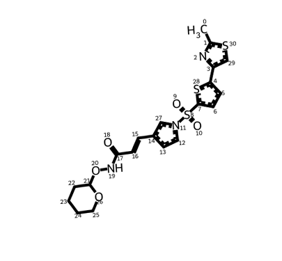 Cc1nc(-c2ccc(S(=O)(=O)n3ccc(C=CC(=O)NOC4CCCCO4)c3)s2)cs1